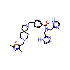 Cc1nc(C)c(CN2CCC3(CC2)CCN(Cc2ccc(C(=O)N(Cc4ncc[nH]4)Cc4ncc[nH]4)cc2)C3)s1